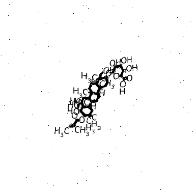 C/C=C(\C)C(=O)O[C@H]1[C@H](O)[C@]2(CO)[C@@H](O)C[C@]3(C)C(=CC[C@@H]4[C@@]5(C)CC[C@H](O[C@@H]6O[C@H](C(=O)O)[C@@H](O)[C@H](O)[C@H]6O)[C@@](C)(CO)[C@@H]5CC[C@]43C)[C@@H]2CC1(C)C